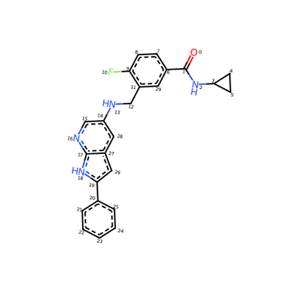 O=C(NC1CC1)c1ccc(F)c(CNc2cnc3[nH]c(-c4ccccc4)cc3c2)c1